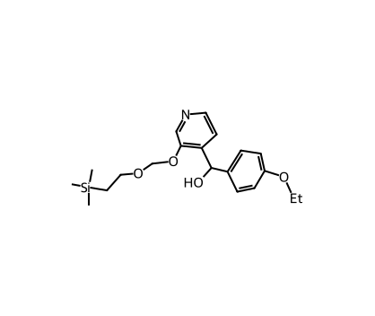 CCOc1ccc(C(O)c2ccncc2OCOCC[Si](C)(C)C)cc1